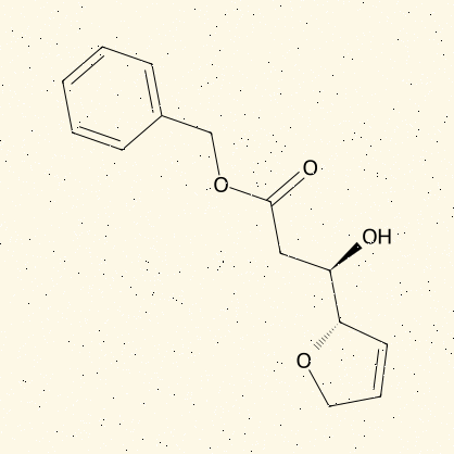 O=C(C[C@@H](O)[C@@H]1C=CCO1)OCc1ccccc1